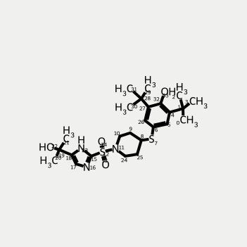 CC(C)(C)c1cc(SC2CCN(S(=O)(=O)c3ncc(C(C)(C)O)[nH]3)CC2)cc(C(C)(C)C)c1O